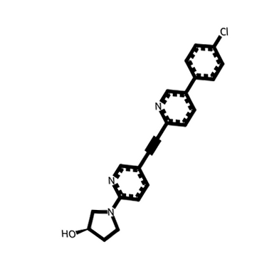 O[C@@H]1CCN(c2ccc(C#Cc3ccc(-c4ccc(Cl)cc4)cn3)cn2)C1